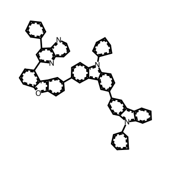 c1ccc(-c2cc(-c3cccc4oc5ccc(-c6ccc7c(c6)c6cc(-c8ccc9c(c8)c8ccccc8n9-c8ccccc8)ccc6n7-c6ccccc6)cc5c34)nc3cccnc23)cc1